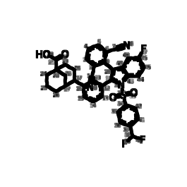 N#Cc1cccc(C#N)c1-c1c(-c2cccc(C3CCC4(C(=O)O)CCCC3C4)c2)n(S(=O)(=O)c2ccc(C(F)F)cc2)c2ccc(F)cc12